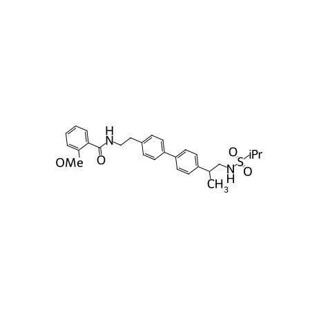 COc1ccccc1C(=O)NCCc1ccc(-c2ccc(C(C)CNS(=O)(=O)C(C)C)cc2)cc1